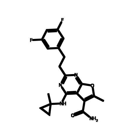 Cc1oc2nc(CCc3cc(F)cc(F)c3)nc(NC3(C)CC3)c2c1C(N)=O